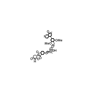 COc1cc(-c2cn(C)c(=O)c3cnccc23)cc(OC)c1CN1CC2(CN(CCOc3ccc4c(c3)C(=O)N(C3CCC(=O)NC3=O)C4=O)C2)C1.O=CO